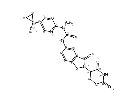 CN(C(=O)Oc1ccc2c(c1)C(=O)N(C1CCC(=O)NC1=O)C2)c1ccc(C2(C)CC2)cn1